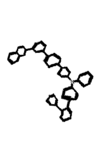 c1ccc(-c2ccccc2-c2ccc(N(c3ccccc3)c3ccc(-c4ccc(-c5cccc(-c6ccc7ccccc7c6)c5)cc4)cc3)cc2)cc1